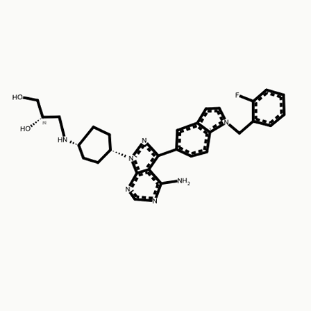 Nc1ncnc2c1c(-c1ccc3c(ccn3Cc3ccccc3F)c1)nn2[C@H]1CC[C@@H](NC[C@H](O)CO)CC1